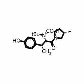 C[C@H](c1ccc(O)cc1)[C@@H](C(=O)N1CC[C@H](F)C1)N(C(=O)O)C(C)(C)C